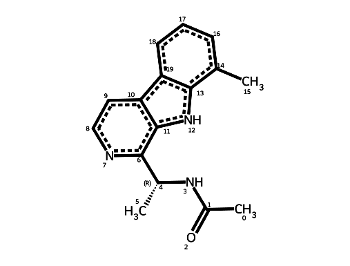 CC(=O)N[C@H](C)c1nccc2c1[nH]c1c(C)cccc12